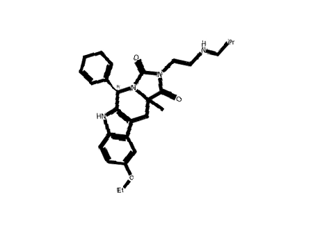 CCOc1ccc2[nH]c3c(c2c1)CC1(C)C(=O)N(CCNCC(C)C)C(=O)N1[C@@H]3C1=CCCC=C1